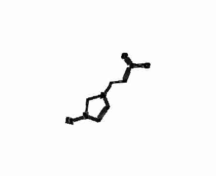 CCN1C=CN(CC=S(=O)=O)C1